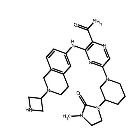 CN1CCN(C2CCCN(c3cnc(C(N)=O)c(Nc4ccc5c(c4)CCN(C4CNC4)C5)n3)C2)C1=O